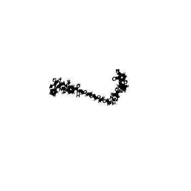 CC[C@@H]1C(=O)N(C)c2cnc(N(C)c3ccc(C(=O)NCCOCCOCCOCCOCCN(C)c4ncc(C(=O)NC5C(C)(C)C(Oc6ccc(C#N)c(Cl)c6)C5(C)C)cn4)cc3OC)nc2N1C1CCCC1